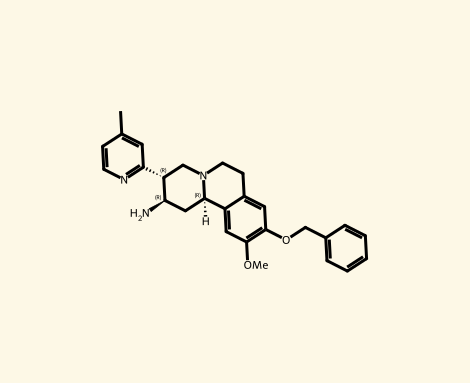 COc1cc2c(cc1OCc1ccccc1)CCN1C[C@@H](c3cc(C)ccn3)[C@H](N)C[C@H]21